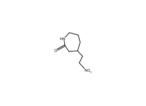 O=C1CC(CC[N+](=O)[O-])CCCN1